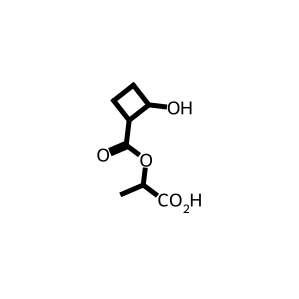 CC(OC(=O)C1CCC1O)C(=O)O